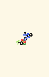 O=S(=O)(c1cc(C(F)(F)F)ccc1Cl)N1CCN(c2nc3ccccc3nc2NC2CC2)CC1